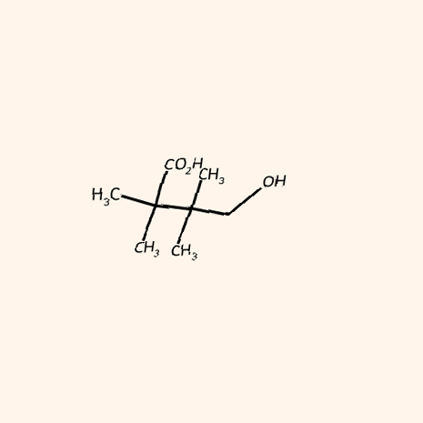 CC(C)(CO)C(C)(C)C(=O)O